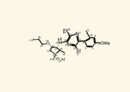 CCc1nc(-c2ccc(OC)cc2C)c(CC)nc1N[C@@H]1C(C)N(C(=O)O)C[C@@H]1OCCF